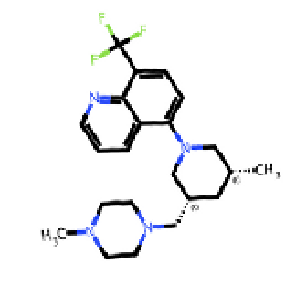 C[C@@H]1C[C@H](CN2CCN(C)CC2)CN(c2ccc(C(F)(F)F)c3ncccc23)C1